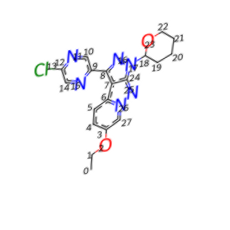 CCOc1ccc2c3c(-c4cnc(Cl)cn4)nn(C4CCCCO4)c3nn2c1